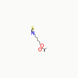 C=C(C)C(=O)OCCCCCCN=C=S